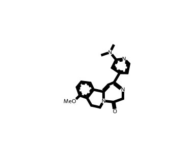 COc1cccc2c1CCN1C(=O)CN=C(c3ccnc(N(C)C)c3)C=C21